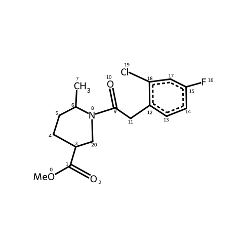 COC(=O)C1CCC(C)N(C(=O)Cc2ccc(F)cc2Cl)C1